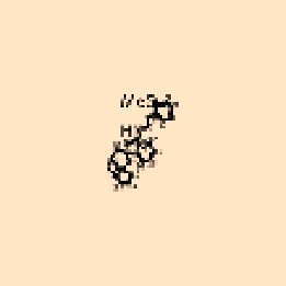 COc1ccccc1CCNCC[C@]1(c2ccccn2)CCOC2(CCCC2)C1